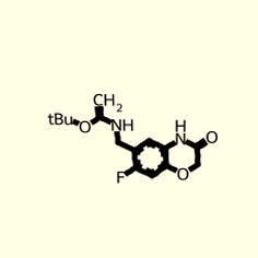 C=C(NCc1cc2c(cc1F)OCC(=O)N2)OC(C)(C)C